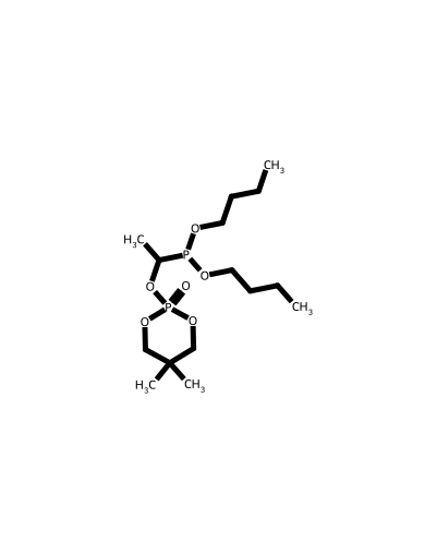 CCCCOP(OCCCC)C(C)OP1(=O)OCC(C)(C)CO1